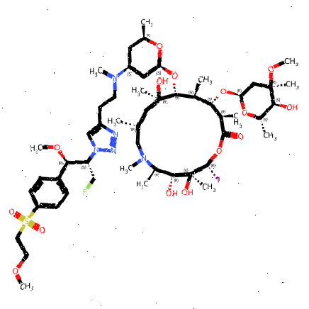 COCCS(=O)(=O)c1ccc([C@@H](OC)[C@@H](CF)n2cc(CCN(C)[C@@H]3C[C@H](O[C@@H]4[C@@H](C)[C@H](O[C@H]5C[C@@](C)(OC)[C@@H](O)[C@H](C)O5)[C@@H](C)C(=O)O[C@H](I)[C@@](C)(O)[C@H](O)[C@@H](C)N(C)C[C@H](C)C[C@@]4(C)O)O[C@H](C)C3)nn2)cc1